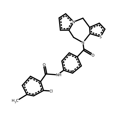 Cc1ccc(C(=O)Nc2ccc(C(=O)N3Cc4cccn4Cc4ccsc43)cc2)c(Cl)c1